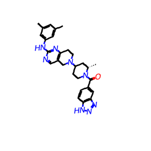 Cc1cc(C)cc(Nc2ncc3c(n2)CCN(C2CCN(C(=O)c4ccc5[nH]nnc5c4)[C@@H](C)C2)C3)c1